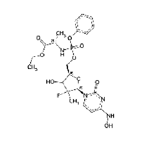 CCOC(=O)[C@H](C)NP(=O)(OC[C@H]1O[C@@H](n2ccc(NO)nc2=O)C(C)(F)C1O)Oc1ccccc1